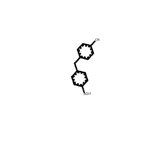 CCCCCCCCc1ccc(Cc2ccc(C#N)cc2)cc1